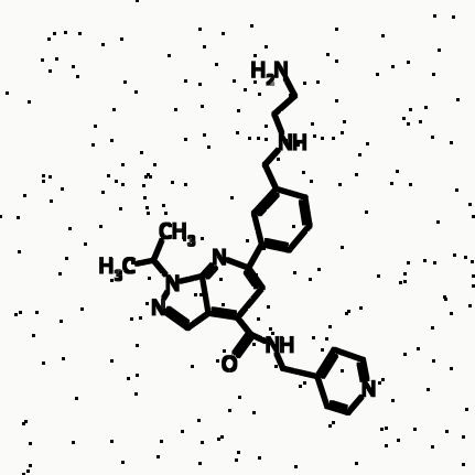 CC(C)n1ncc2c(C(=O)NCc3ccncc3)cc(-c3cccc(CNCCN)c3)nc21